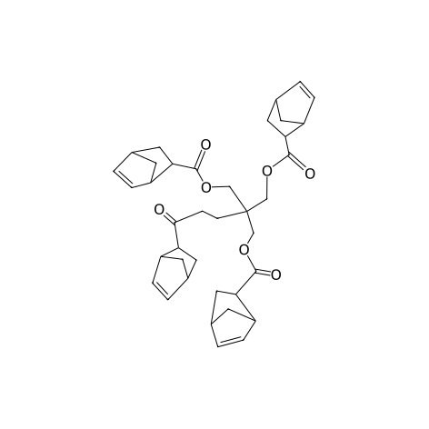 O=C(CCC(COC(=O)C1CC2C=CC1C2)(COC(=O)C1CC2C=CC1C2)COC(=O)C1CC2C=CC1C2)C1CC2C=CC1C2